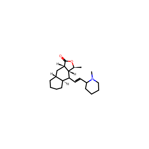 C[C@@H]1OC(=O)[C@H]2C[C@H]3CCCC[C@@H]3C(/C=C/C3CCCCN3C)[C@@H]12